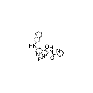 CCn1cc(NC(=O)c2ccccn2)c(=O)c2cc(NC3Cc4ccccc4C3)cnc21